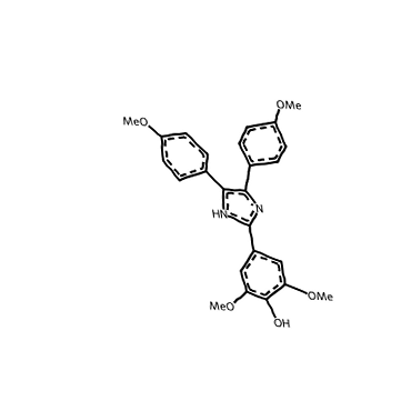 COc1ccc(-c2nc(-c3cc(OC)c(O)c(OC)c3)[nH]c2-c2ccc(OC)cc2)cc1